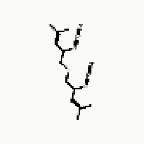 CC(C)=CC(COCC(C=C(C)C)N=[N+]=[N-])N=[N+]=[N-]